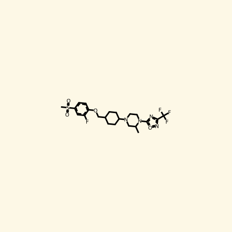 CC1CN(C2CCC(COc3ccc(S(C)(=O)=O)cc3F)CC2)CCN1c1nc(C(F)(F)F)no1